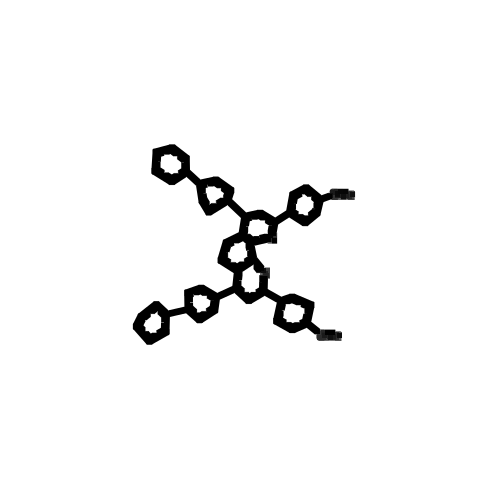 COc1ccc(-c2cc(-c3ccc(-c4ccccc4)cc3)c3ccc4c(-c5ccc(-c6ccccc6)cc5)cc(-c5ccc(OC)cc5)nc4c3n2)cc1